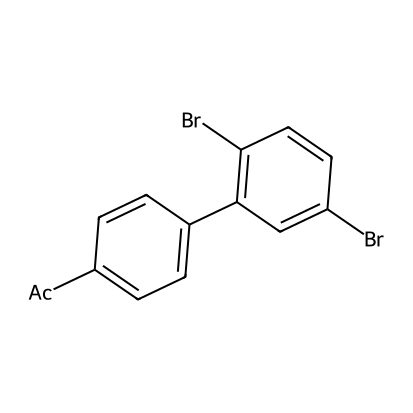 CC(=O)c1ccc(-c2cc(Br)ccc2Br)cc1